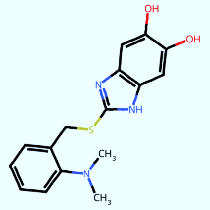 CN(C)c1ccccc1CSc1nc2cc(O)c(O)cc2[nH]1